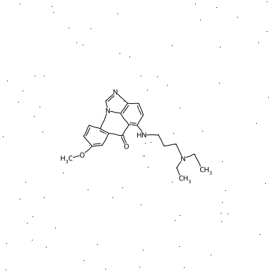 CCN(CC)CCCNc1ccc2ncn3c4ccc(OC)cc4c(=O)c1c23